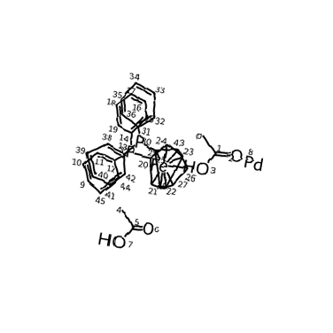 CC(=O)O.CC(=O)O.[Pd].c1ccc(P(c2ccccc2)[C]23[CH]4[CH]5[CH]6[CH]2[Fe]56432789[CH]3[CH]2[CH]7[C]8(P(c2ccccc2)c2ccccc2)[CH]39)cc1